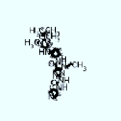 CCCNc1nc(NC(=O)Nc2ccncc2)ncc1C(=O)Nc1cccc(NC(=O)CN(C)C(=O)OC(C)(C)C)c1